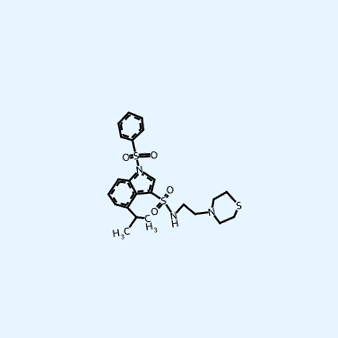 CC(C)c1cccc2c1c(S(=O)(=O)NCCN1CCSCC1)cn2S(=O)(=O)c1ccccc1